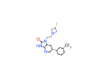 O=c1[nH]c2ncc(-c3cccc(C(F)(F)F)c3)cc2n1CCN1CC(F)C1